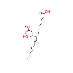 CCCCCCC/C=C/C(CCCCCCCC(=O)O)C(CO)CC(=O)OC